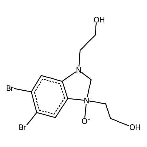 [O-][N+]1(CCO)CN(CCO)c2cc(Br)c(Br)cc21